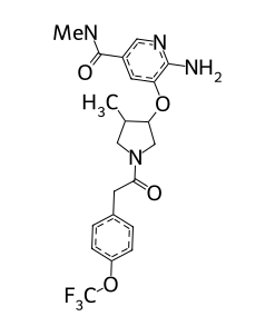 CNC(=O)c1cnc(N)c(OC2CN(C(=O)Cc3ccc(OC(F)(F)F)cc3)CC2C)c1